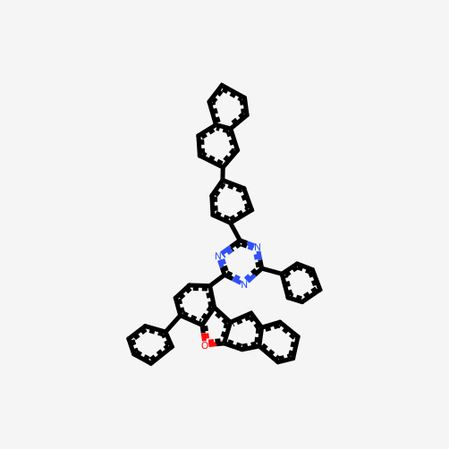 c1ccc(-c2nc(-c3ccc(-c4ccc5ccccc5c4)cc3)nc(-c3ccc(-c4ccccc4)c4oc5cc6ccccc6cc5c34)n2)cc1